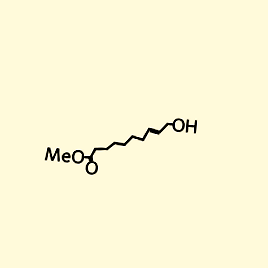 COC(=O)CCCCCC/C=C/CO